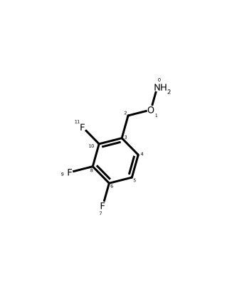 NOCc1ccc(F)c(F)c1F